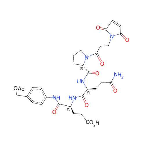 CC(=O)OCc1ccc(NC(=O)[C@H](CCC(=O)O)NC(=O)[C@H](CCC(N)=O)NC(=O)[C@@H]2CCCN2C(=O)CCN2C(=O)C=CC2=O)cc1